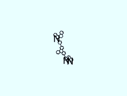 C1=CC2=C(CC1)c1c(c(C3=CCC(c4ccc5c(c4)c4c(c6cc(-c7ccnc8c7ccc7cccnc78)ccc65)C=CCC4)C=C3)nc3c1=CCCC=3)CC2